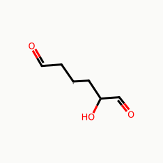 O=CC[CH]CC(O)C=O